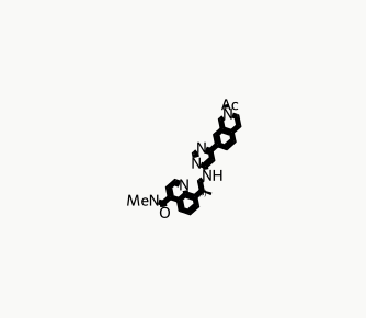 CNC(=O)c1ccnc2c([C@H](C)CNc3cc(-c4ccc5c(c4)CN(C(C)=O)CC5)ncn3)cccc12